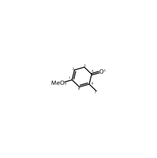 COC1=CCC(=O)C(C)=C1